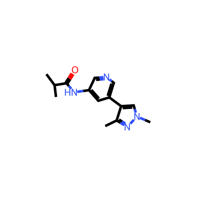 Cc1nn(C)cc1-c1cncc(NC(=O)C(C)C)c1